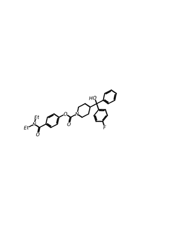 CCN(CC)C(=O)c1ccc(OC(=O)N2CCC(C(O)(c3ccccc3)c3ccc(F)cc3)CC2)cc1